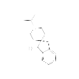 CC(C)N1CCC2(CC1)Cc1ccccc1[C@@H]2N